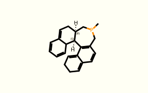 CP1Cc2ccc3c(c2[C@H]2C4C=CC=CC4=CC[C@H]2C1)=CCCC=3